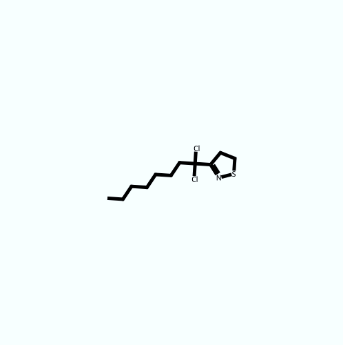 CCCCCCCC(Cl)(Cl)C1=NSCC1